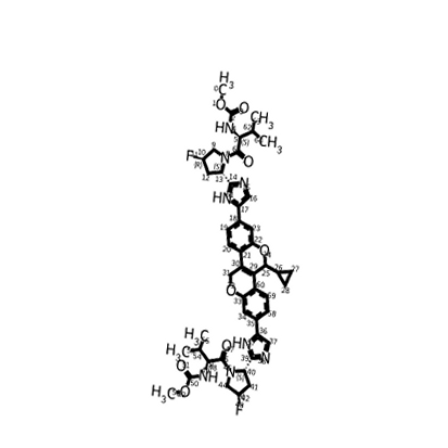 COC(=O)N[C@H](C(=O)N1C[C@H](F)C[C@H]1c1ncc(-c2ccc3c(c2)OC(C2CC2)C2=C3COc3cc(-c4cnc([C@@H]5C[C@@H](F)CN5C(=O)[C@@H](NC(=O)OC)C(C)C)[nH]4)ccc32)[nH]1)C(C)C